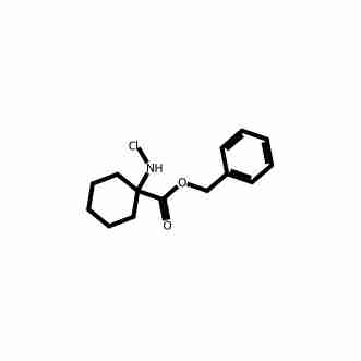 O=C(OCc1ccccc1)C1(NCl)CCCCC1